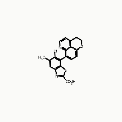 CCc1c(C)cc2nc(C(=O)O)sc2c1-c1ccc2c3c(ccnc13)CCO2